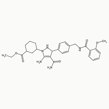 CCOC(=O)C1CCCC(N2NC(c3ccc(CNC(=O)c4ccccc4OC)cc3)C(C(N)=O)=C2N)C1